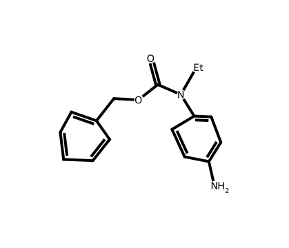 CCN(C(=O)OCc1ccccc1)c1ccc(N)cc1